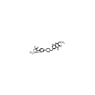 CCc1nc2ncc(CN3CCN(c4ccc(C(NC)C(F)(F)F)nc4)CC3)cc2[nH]c1=O